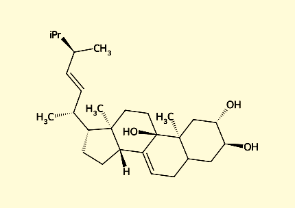 CC(C)[C@@H](C)C=C[C@@H](C)[C@H]1CC[C@H]2C3=CCC4C[C@H](O)[C@@H](O)C[C@]4(C)[C@@]3(O)CC[C@]12C